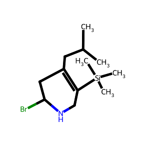 CC(C)CC1=C([Si](C)(C)C)CNC(Br)C1